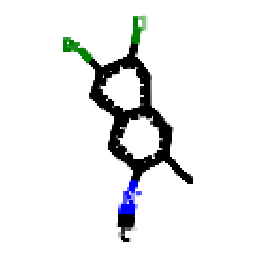 [C-]#[N+]c1cc2cc(Br)c(Cl)cc2cc1C